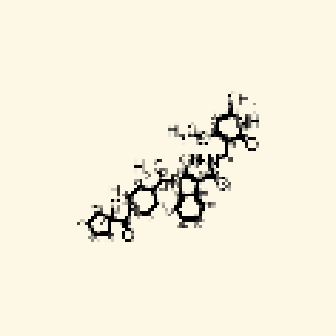 COc1cc(C)[nH]c(=O)c1CNC(=O)c1c(C)n([C@H](C)C2CCN(C(=O)C3(C)CCCC3)CC2)c2ccccc12